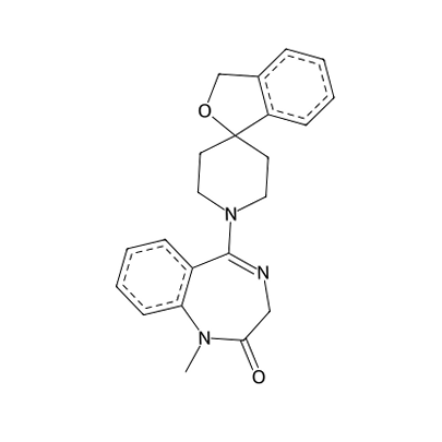 CN1C(=O)CN=C(N2CCC3(CC2)OCc2ccccc23)c2ccccc21